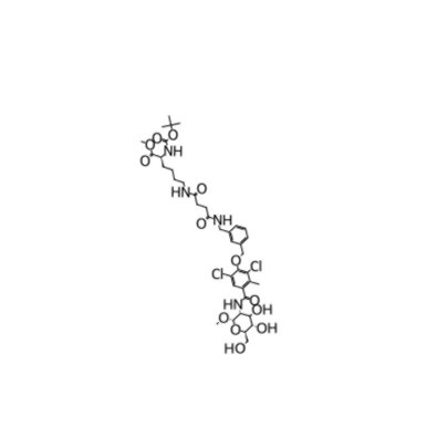 COC(=O)[C@H](CCCCNC(=O)CCC(=O)NCc1cccc(COc2c(Cl)cc(C(=O)N[C@H]3[C@@H](OC)O[C@H](CO)[C@@H](O)[C@@H]3O)c(C)c2Cl)c1)NC(=O)OC(C)(C)C